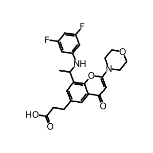 CC(Nc1cc(F)cc(F)c1)c1cc(CCC(=O)O)cc2c(=O)cc(N3CCOCC3)oc12